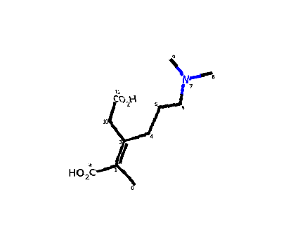 CC(C(=O)O)=C(CCCN(C)C)CC(=O)O